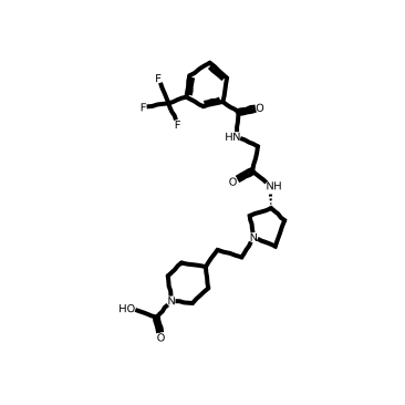 O=C(CNC(=O)c1cccc(C(F)(F)F)c1)N[C@@H]1CCN(CCC2CCN(C(=O)O)CC2)C1